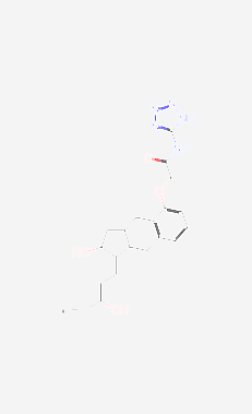 CCCCCC(O)CCC1C(O)CC2Cc3c(cccc3OCC(=O)Nc3nnn[nH]3)CC21